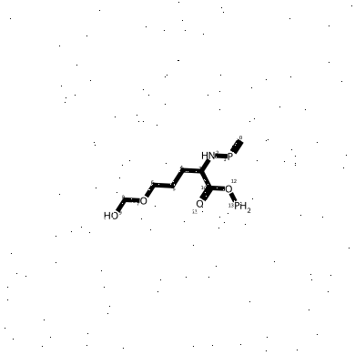 C=PNC(CCCOCO)C(=O)OP